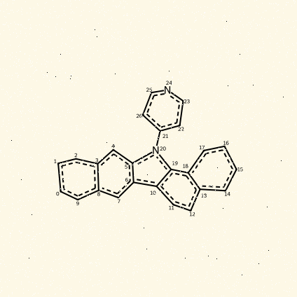 c1ccc2cc3c(cc2c1)c1ccc2ccccc2c1n3-c1ccncc1